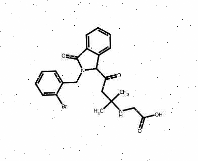 CC(C)(CC(=O)C1c2ccccc2C(=O)N1Cc1ccccc1Br)NCC(=O)O